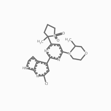 CC1COCCN1c1cc(C2(C)CCCS2(=O)=O)nc(-c2cc(Cl)nc3[nH]ccc23)n1